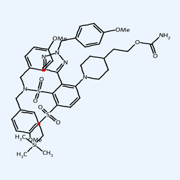 COc1ccc(CN(Cc2ccc(OC)cc2)S(=O)(=O)c2c(S(=O)(=O)CC[Si](C)(C)C)ccc(N3CCC(CCOC(N)=O)CC3)c2-c2nnn(Cc3ccc(OC)cc3)n2)cc1